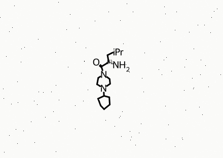 CC(C)C[C@H](N)C(=O)N1CCN(C2CCCCC2)CC1